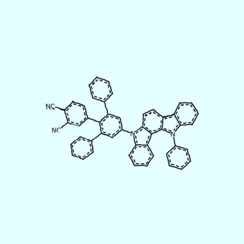 N#Cc1ccc(-c2c(-c3ccccc3)cc(-n3c4ccccc4c4c3ccc3c5ccccc5n(-c5ccccc5)c34)cc2-c2ccccc2)cc1C#N